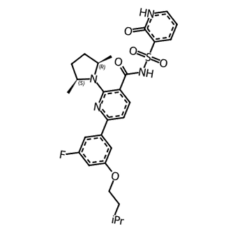 CC(C)CCOc1cc(F)cc(-c2ccc(C(=O)NS(=O)(=O)c3ccc[nH]c3=O)c(N3[C@H](C)CC[C@@H]3C)n2)c1